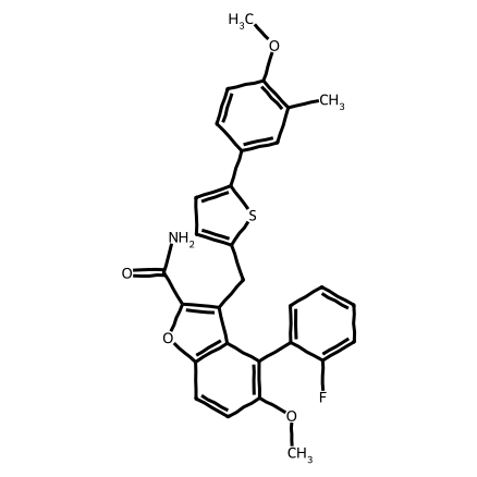 COc1ccc(-c2ccc(Cc3c(C(N)=O)oc4ccc(OC)c(-c5ccccc5F)c34)s2)cc1C